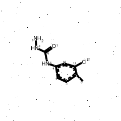 Cc1ccc(NC(=O)NN)cc1Cl